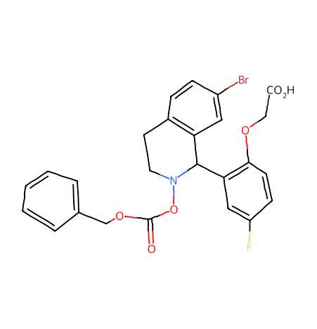 O=C(O)COc1ccc(F)cc1C1c2cc(Br)ccc2CCN1OC(=O)OCc1ccccc1